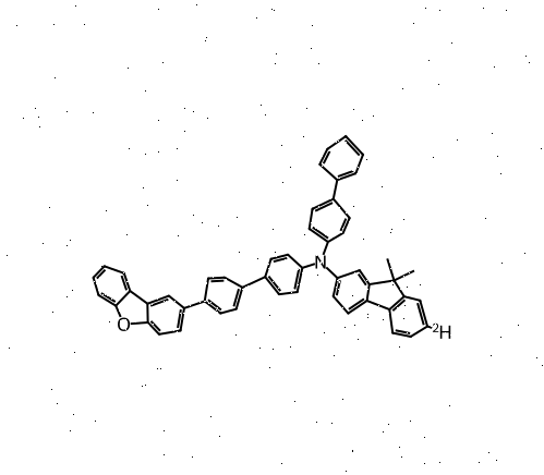 [2H]c1ccc2c(c1)C(C)(C)c1cc(N(c3ccc(-c4ccccc4)cc3)c3ccc(-c4ccc(-c5ccc6oc7ccccc7c6c5)cc4)cc3)ccc1-2